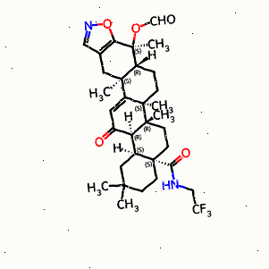 CC1(C)CC[C@]2(C(=O)NCC(F)(F)F)CC[C@]3(C)[C@H](C(=O)C=C4[C@@]5(C)Cc6cnoc6[C@@](C)(OC=O)[C@@H]5CC[C@]43C)[C@@H]2C1